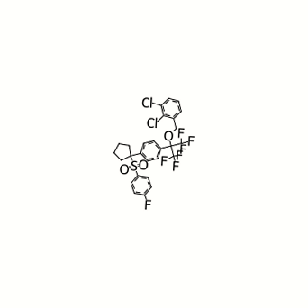 O=S(=O)(c1ccc(F)cc1)C1(c2ccc(C(OCc3cccc(Cl)c3Cl)(C(F)(F)F)C(F)(F)F)cc2)CCCC1